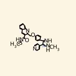 CN/C=C(\C(=N)c1ccc(OCc2nc3ccccc3cc2C(=O)NSC)cc1)c1ccncc1